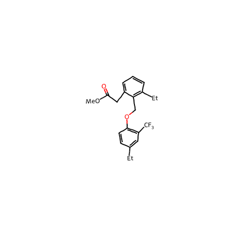 CCc1ccc(OCc2c(CC)cccc2CC(=O)OC)c(C(F)(F)F)c1